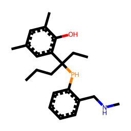 CCCC(CC)(Pc1ccccc1CNC)c1cc(C)cc(C)c1O